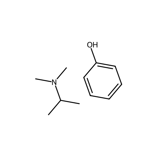 CC(C)N(C)C.Oc1ccccc1